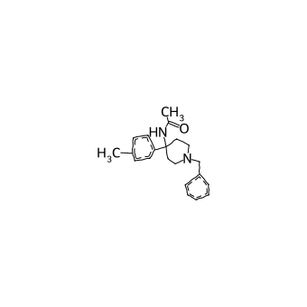 CC(=O)NC1(c2ccc(C)cc2)CCN(Cc2ccccc2)CC1